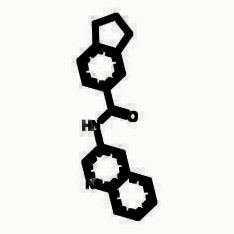 O=C(Nc1cnc2ccccc2c1)c1ccc2c(c1)CCC2